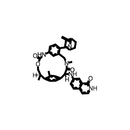 C=C1C2CCC(CC2)N1c1ccc2cc1CN(C)C(=O)[C@H](Nc1ccc3cc[nH]c(=O)c3c1)c1ccc(c(C)c1)[C@@H](C)COC(=O)N2